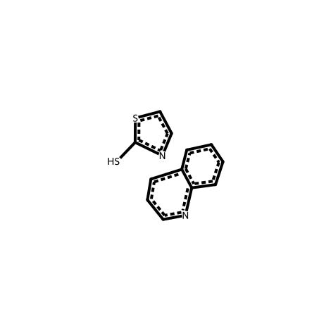 Sc1nccs1.c1ccc2ncccc2c1